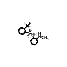 CNc1ccccc1NS(=O)(=O)c1ccccc1C(F)(F)F